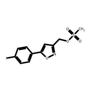 CS(=O)(=O)OCc1cc(-c2ccc(I)cc2)on1